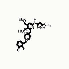 CCOCc1cc(Nc2cc(C)[nH]n2)nc(CC2(C(=O)O)CCN(Cc3cccc(Cl)c3F)CC2)c1F